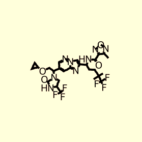 Cc1nonc1C(=O)NC(CCC(C)(C)C(F)(F)F)c1cn2ncc(C(COC3CC3)N3CC(C(F)(F)F)NC3=O)cc2n1